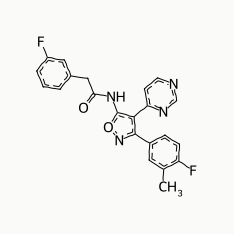 Cc1cc(-c2noc(NC(=O)Cc3cccc(F)c3)c2-c2ccncn2)ccc1F